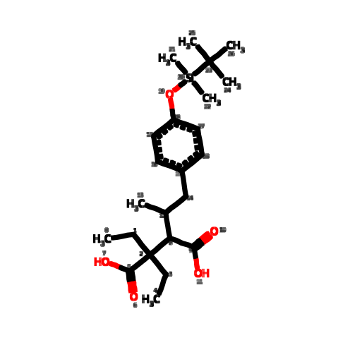 CCC(CC)(C(=O)O)C(C(=O)O)C(C)Cc1ccc(O[Si](C)(C)C(C)(C)C)cc1